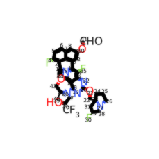 C#Cc1c(F)ccc2cc(OC=O)cc(-c3nc4c5c(nc(OC[C@@]67CCCN6C[C@H](F)C7)nc5c3F)N(CC(O)C(F)(F)F)[C@@H](C)CO4)c12